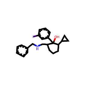 OC1(c2cccc(I)c2)C(CNCc2ccccc2)CCCC1C1CC1